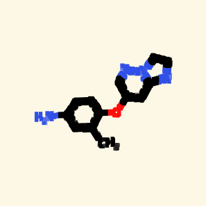 Cc1cc(N)ccc1Oc1cnn2ccnc2c1